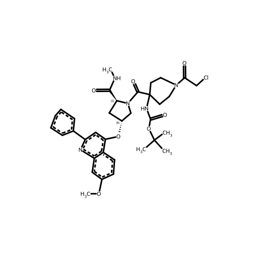 CNC(=O)[C@@H]1C[C@@H](Oc2cc(-c3ccccc3)nc3cc(OC)ccc23)CN1C(=O)C1(NC(=O)OC(C)(C)C)CCN(C(=O)CCl)CC1